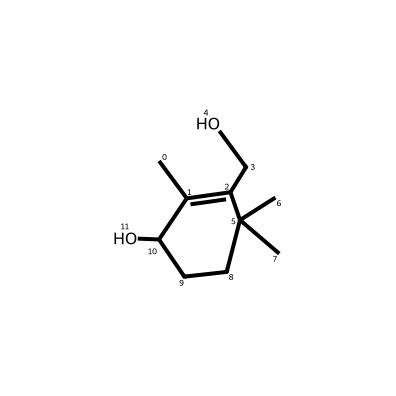 CC1=C(CO)C(C)(C)CCC1O